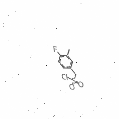 Cc1cc(CS(=O)(=O)Cl)ccc1F